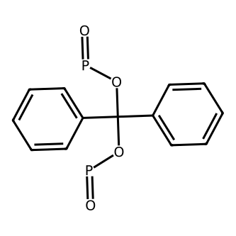 O=POC(OP=O)(c1ccccc1)c1ccccc1